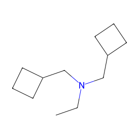 CCN(CC1CCC1)CC1CCC1